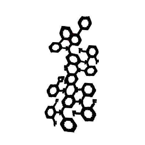 Fc1cccc(F)c1N(c1ccccc1)c1cc2c3c(c1)N(c1c(F)cccc1F)c1ccccc1B3c1cc3c(cc1N2c1ccccc1C(F)(F)F)Sc1cc(N(c2ccc(-c4ccccc4)cc2)c2ccccc2-c2ccccc2)cc2c1B3c1ccccc1N2c1c(F)cccc1F